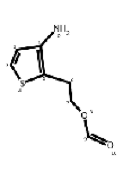 Nc1ccsc1CCOC=O